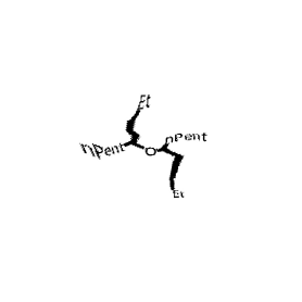 CCC=CC(CCCCC)OC(C=CCC)CCCCC